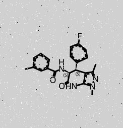 Cc1cccc(C(=O)N[C@@H]2C(=O)Nc3c(c(C)nn3C)[C@@H]2c2ccc(F)cc2)c1